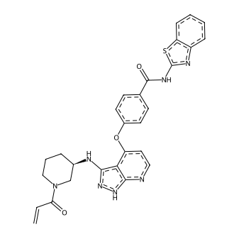 C=CC(=O)N1CCC[C@@H](Nc2n[nH]c3nccc(Oc4ccc(C(=O)Nc5nc6ccccc6s5)cc4)c23)C1